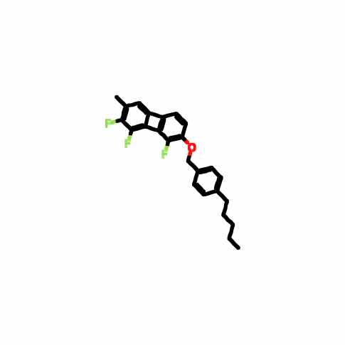 CCCCCc1ccc(COc2ccc3c(c2F)-c2c-3cc(C)c(F)c2F)cc1